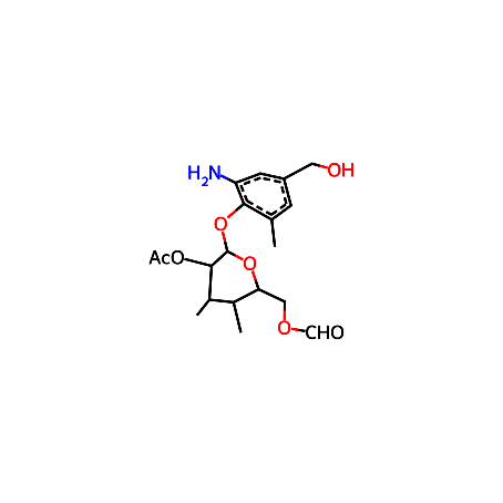 CC(=O)OC1C(Oc2c(C)cc(CO)cc2N)OC(COC=O)C(C)C1C